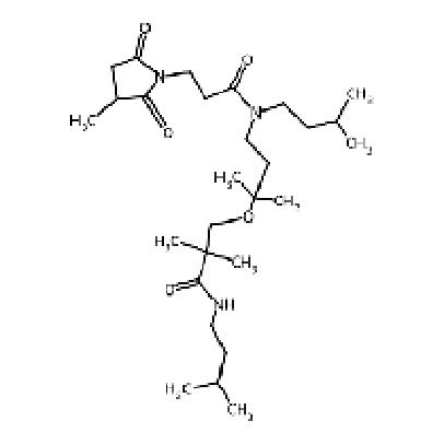 CC(C)CCNC(=O)C(C)(C)COC(C)(C)CCN(CCC(C)C)C(=O)CCN1C(=O)CC(C)C1=O